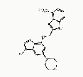 CCOC(=O)c1cccc2[nH]c(CNc3nc(N4CCOCC4)nc4c3ncn4C(C)C)nc12